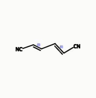 N#C/C=C/C=C/C#N